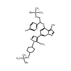 Cc1c(-c2cc(OC(CO[Si](C)(C)C(C)(C)C)c3ccc(F)cn3)c3c(C#N)cnn3c2)cnn1C1CCC(O[Si](C)(C)C(C)(C)C)CC1